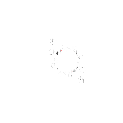 CC(C)CC1C(=O)O[C@H](C)C(=O)N(C)[C@@H](CC(C)C)C(=O)O[C@H](Cc2ccc(Cn3nccc3C3CC(F)(F)C3)cc2)C(=O)N(C)[C@@H](CC(C)C)C(=O)O[C@H](C)C(=O)N(C)[C@@H](CC(C)C)C(=O)O[C@H](Cc2ccc(Cn3nccc3C3CC(F)(F)C3)cc2)C(=O)N1C